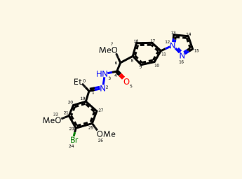 CC/C(=N\NC(=O)C(OC)c1ccc(-n2cccn2)cc1)c1cc(OC)c(Br)c(OC)c1